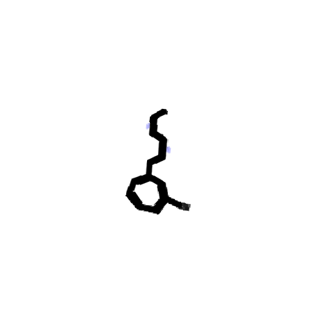 C/C=C\C=C/CC1=CC=CCC(C#N)=C1